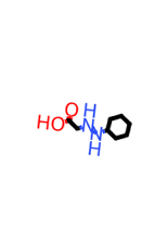 O=C(O)CNNC1CCCCC1